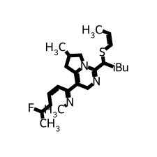 C/C=C\SC(C1=NCC(C(/C=C\CC(C)F)=N/C)=C2CC(C)CN12)C(C)CC